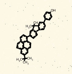 CC(C)(C)c1cc2ccc3ccc(-c4ccc5c(c4)C(C)(C)c4cc(-c6ccc(O)cc6)ccc4-5)c4ccc(c1)c2c34